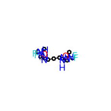 O=C(C(c1ccccc1)N1CCCC(F)(F)C1)N1CCC[C@H]1c1nc2ccc(-c3ccc(-c4ccc5nc([C@@H]6CCCN6C(=O)C(c6ccccc6)N6CCCC(F)(F)C6)[nH]c5c4)cc3)cc2[nH]1